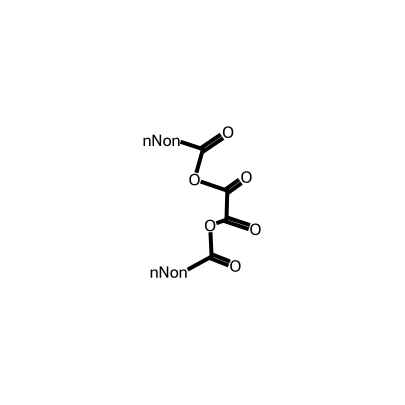 CCCCCCCCCC(=O)OC(=O)C(=O)OC(=O)CCCCCCCCC